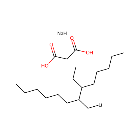 O=C(O)CC(=O)O.[Li][CH2]C(CCCCCC)C(CC)CCCCC.[NaH]